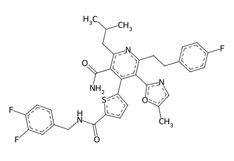 Cc1cnc(-c2c(CCc3ccc(F)cc3)nc(CC(C)C)c(C(N)=O)c2-c2ccc(C(=O)NCc3ccc(F)c(F)c3)s2)o1